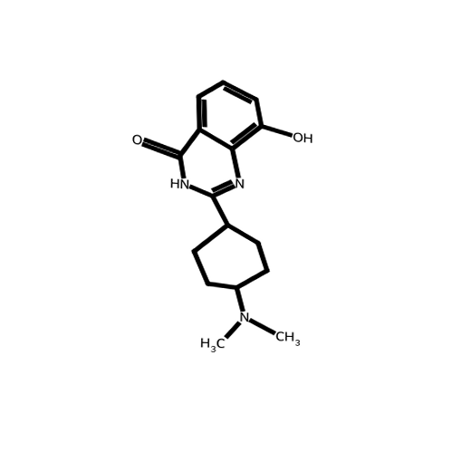 CN(C)C1CCC(c2nc3c(O)cccc3c(=O)[nH]2)CC1